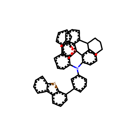 c1cc(-c2cccc3c2sc2ccccc23)cc(N(c2ccccc2-c2cccc3cccc(C4CCCCC4)c23)c2cccc3c2oc2ccccc23)c1